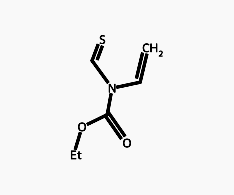 C=CN(C=S)C(=O)OCC